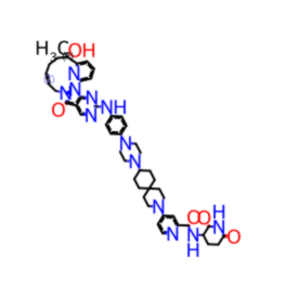 C[C@@]1(O)CC/C=C\Cn2c(=O)c3cnc(Nc4ccc(N5CCN(C6CCC7(CC6)CCN(c6ccnc(C(=O)NC8CCC(=O)NC8=O)c6)CC7)CC5)cc4)nc3n2-c2cccc1n2